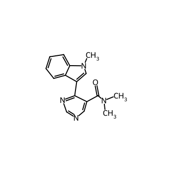 CN(C)C(=O)c1cncnc1-c1cn(C)c2ccccc12